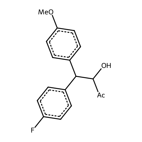 COc1ccc(C(c2ccc(F)cc2)C(O)C(C)=O)cc1